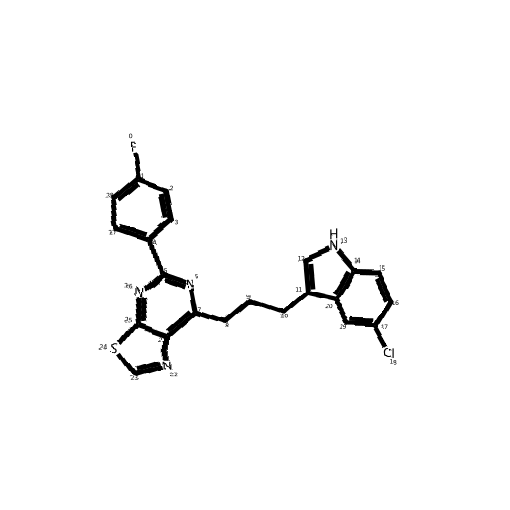 Fc1ccc(-c2nc(CCCc3c[nH]c4ccc(Cl)cc34)c3ncsc3n2)cc1